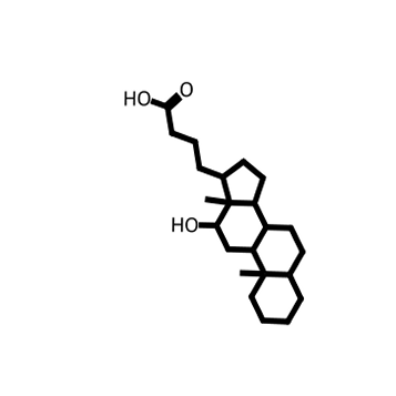 CC12CCCCC1CCC1C2CC(O)C2(C)C(CCCC(=O)O)CCC12